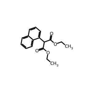 CCOC(=O)C(C(=O)OCC)c1cccc2ccccc12